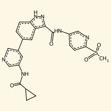 CS(=O)(=O)c1ccc(NC(=O)c2n[nH]c3ccc(-c4cncc(NC(=O)C5CC5)c4)cc23)cn1